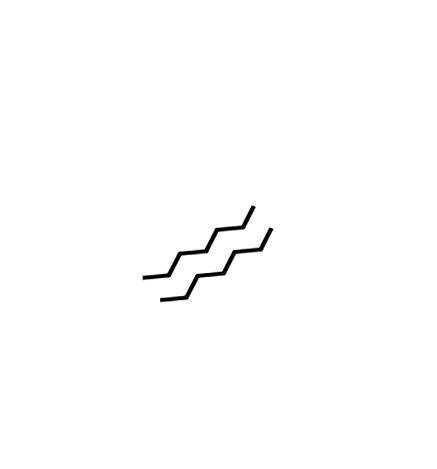 CCCCCCC.CCCCCCC